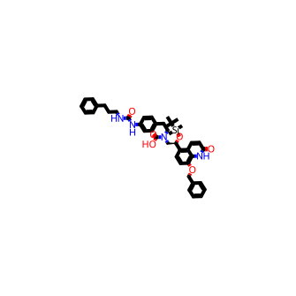 CC(C)(C)[Si](C)(C)O[C@H](CN(CCc1ccc(NC(=O)NCCCc2ccccc2)cc1)C(=O)O)c1ccc(OCc2ccccc2)c2[nH]c(=O)ccc12